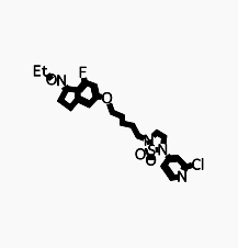 CCON=C1CCc2cc(OCCCCCN3CCN(c4ccnc(Cl)c4)S3(=O)=O)cc(F)c21